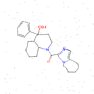 O=C(c1ncc2n1CCCC2)N1CCC(O)(c2ccccc2)C2CCCCC21